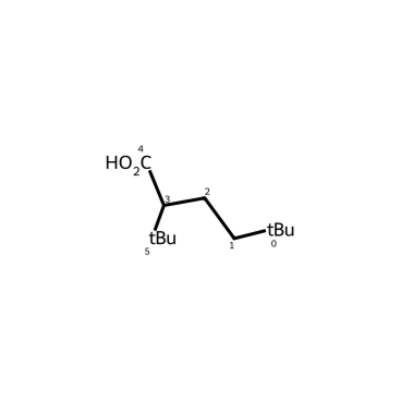 CC(C)(C)CCC(C(=O)O)C(C)(C)C